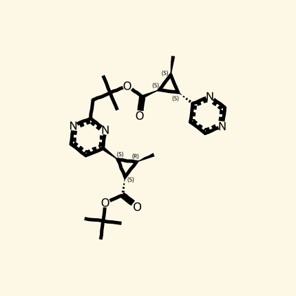 C[C@@H]1[C@H](C(=O)OC(C)(C)Cc2nccc([C@H]3[C@@H](C)[C@@H]3C(=O)OC(C)(C)C)n2)[C@H]1c1ccncn1